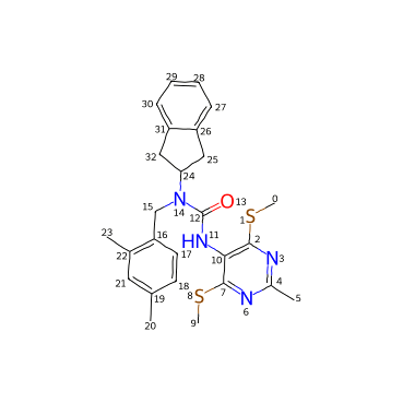 CSc1nc(C)nc(SC)c1NC(=O)N(Cc1ccc(C)cc1C)C1Cc2ccccc2C1